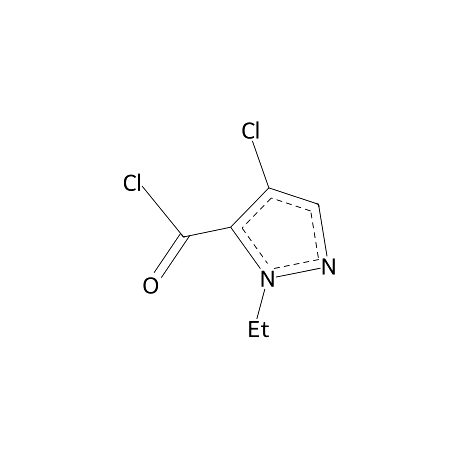 CCn1ncc(Cl)c1C(=O)Cl